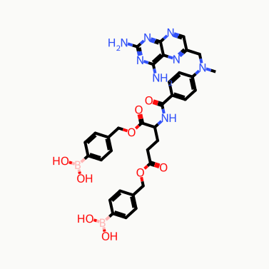 CN(Cc1cnc2nc(N)nc(N)c2n1)c1ccc(C(=O)NC(CCC(=O)OCc2ccc(B(O)O)cc2)C(=O)OCc2ccc(B(O)O)cc2)cc1